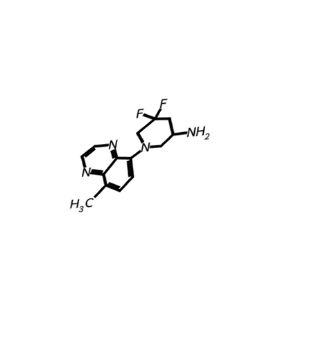 Cc1ccc(N2CC(N)CC(F)(F)C2)c2nccnc12